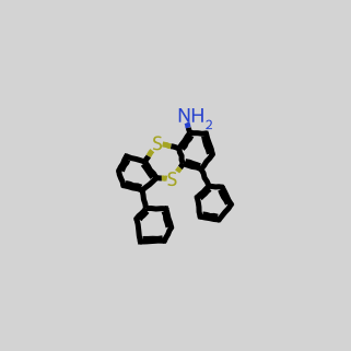 Nc1ccc(-c2ccccc2)c2c1Sc1cccc(-c3ccccc3)c1S2